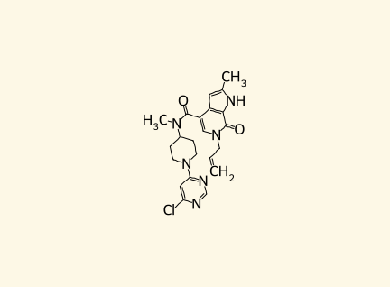 C=CCn1cc(C(=O)N(C)C2CCN(c3cc(Cl)ncn3)CC2)c2cc(C)[nH]c2c1=O